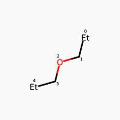 [CH2]CCOCCC